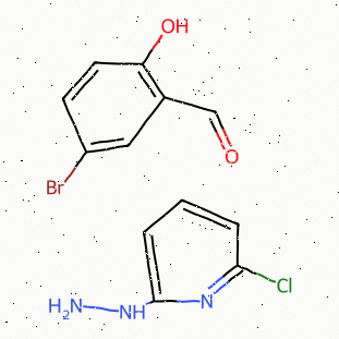 NNc1cccc(Cl)n1.O=Cc1cc(Br)ccc1O